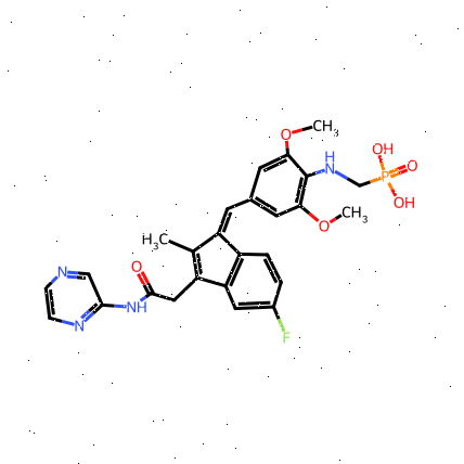 COc1cc(/C=C2/C(C)=C(CC(=O)Nc3cnccn3)c3cc(F)ccc32)cc(OC)c1NCP(=O)(O)O